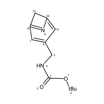 CC(C)(C)OC(=O)NCc1cc2nc(c1)C2